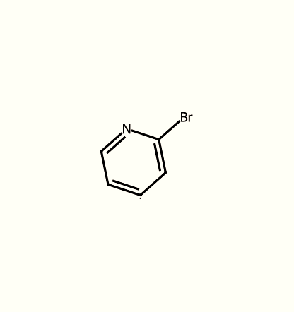 Brc1c[c]ccn1